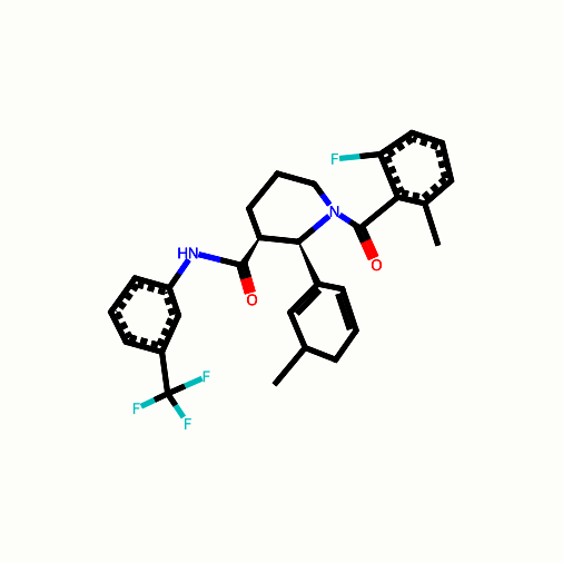 Cc1cccc(F)c1C(=O)N1CCC[C@H](C(=O)Nc2cccc(C(F)(F)F)c2)[C@@H]1C1=CC(C)CC=C1